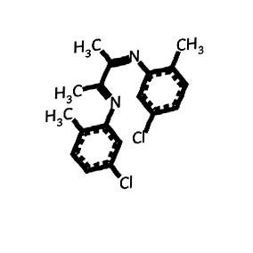 CC(=Nc1cc(Cl)ccc1C)C(C)=Nc1cc(Cl)ccc1C